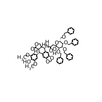 COc1cc([C@@H]2c3cc4c(cc3[C@@H](NC(=O)C[C@]3(O)O[C@H](COCc5ccccc5)[C@H](OCc5ccccc5)[C@H](OCc5ccccc5)[C@H]3OCc3ccccc3)[C@H]3COC(=O)[C@H]23)OCO4)cc(OC)c1O